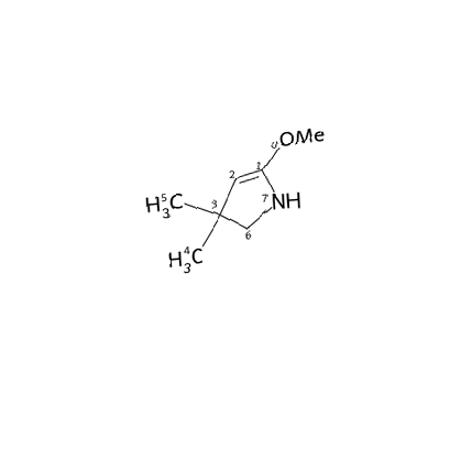 COC1=CC(C)(C)CN1